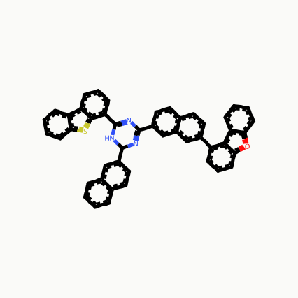 c1ccc2cc(C3N=C(c4ccc5ccc(-c6cccc7oc8ccccc8c67)cc5c4)N=C(c4cccc5c4sc4ccccc45)N3)ccc2c1